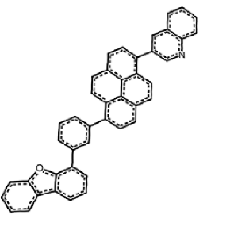 c1cc(-c2ccc3ccc4c(-c5cnc6ccccc6c5)ccc5ccc2c3c54)cc(-c2cccc3c2oc2ccccc23)c1